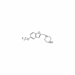 FC(F)(F)Oc1ccc2oc(CN3CCNCC3)cc2c1